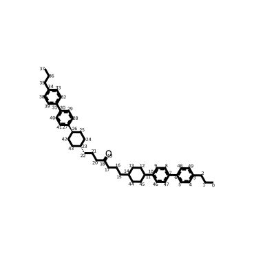 CCCc1ccc(-c2ccc(C3CCC(CCCC(=O)CCC[C@H]4CC[C@H](c5ccc(-c6ccc(CCC)cc6)cc5)CC4)CC3)cc2)cc1